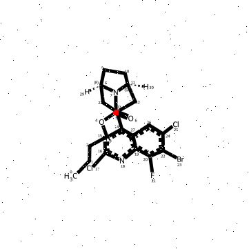 CCCCOC(=O)N1[C@@H]2CC[C@H]1CN(c1nc(Cl)nc3c(F)c(Br)c(Cl)cc13)C2